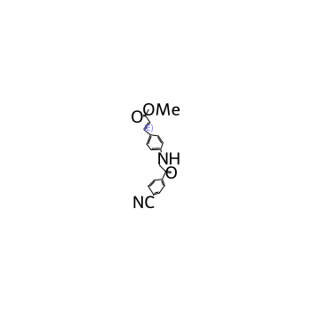 COC(=O)/C=C/c1ccc(NCC(=O)c2ccc(C#N)cc2)cc1